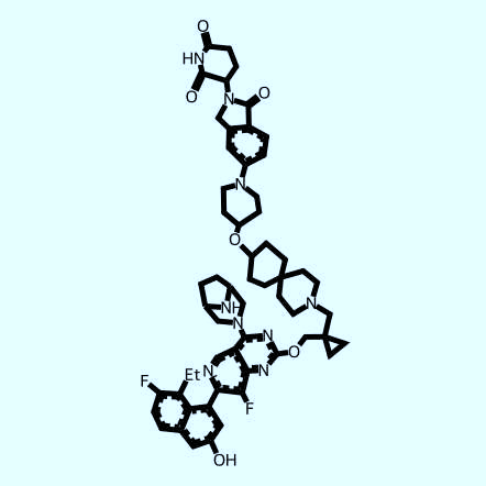 CCc1c(F)ccc2cc(O)cc(-c3ncc4c(N5CC6CCC(C5)N6)nc(OCC5(CN6CCC7(CCC(OC8CCN(c9ccc%10c(c9)CN(C9CCC(=O)NC9=O)C%10=O)CC8)CC7)CC6)CC5)nc4c3F)c12